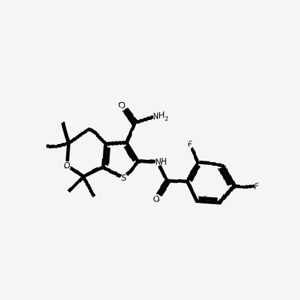 CC1(C)Cc2c(sc(NC(=O)c3ccc(F)cc3F)c2C(N)=O)C(C)(C)O1